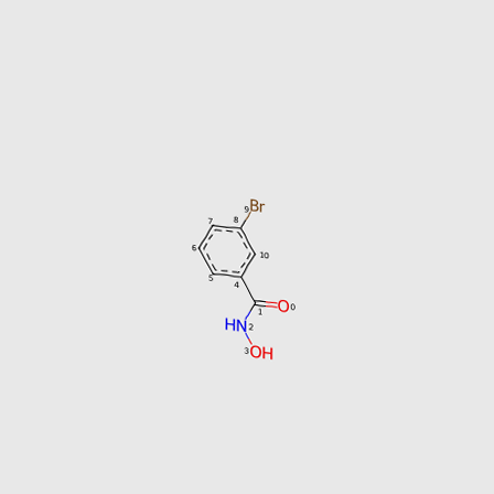 O=C(NO)c1cccc(Br)c1